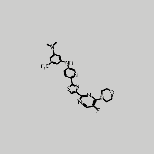 CN(C)c1cc(Nc2ccc(-c3nc(-c4ncc(F)c(N5CCOCC5)n4)cs3)nc2)cc(C(F)(F)F)c1